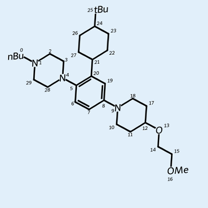 CCCCN1CCN(c2ccc(N3CCC(OCCOC)CC3)cc2C2CCC(C(C)(C)C)CC2)CC1